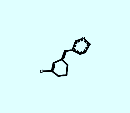 ClC1=CC(=Cc2cccnc2)CCC1